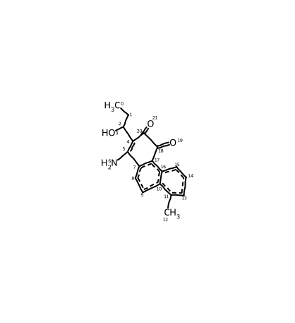 CCC(O)C1=C(N)c2ccc3c(C)cccc3c2C(=O)C1=O